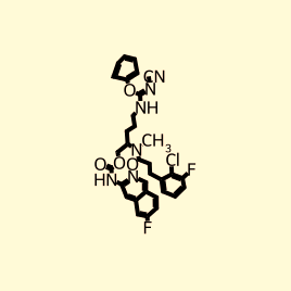 CN(C(=O)CCc1cccc(F)c1Cl)C(CCCNC(=NC#N)Oc1ccccc1)COC(=O)Nc1cc2cc(F)ccc2cn1